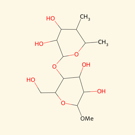 COC1OC(CO)C(OC2OC(C)C(C)C(O)C2O)C(O)C1O